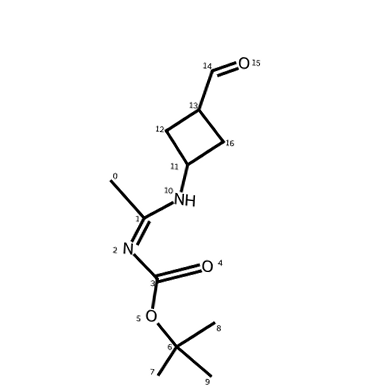 C/C(=N/C(=O)OC(C)(C)C)NC1CC(C=O)C1